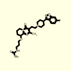 Cc1nc2n(c(=O)c1CCN1CCC(c3noc4cc(F)ccc34)CC1)CCCC2OCCCNC(=O)C(C)(C)C